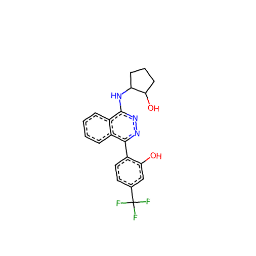 Oc1cc(C(F)(F)F)ccc1-c1nnc(NC2CCCC2O)c2ccccc12